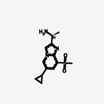 C[C@@H](N)c1cn2cc(C3CC3)cc(S(C)(=O)=O)c2n1